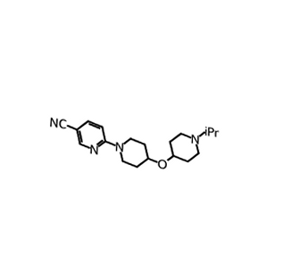 CC(C)N1CCC(OC2CCN(c3ccc(C#N)cn3)CC2)CC1